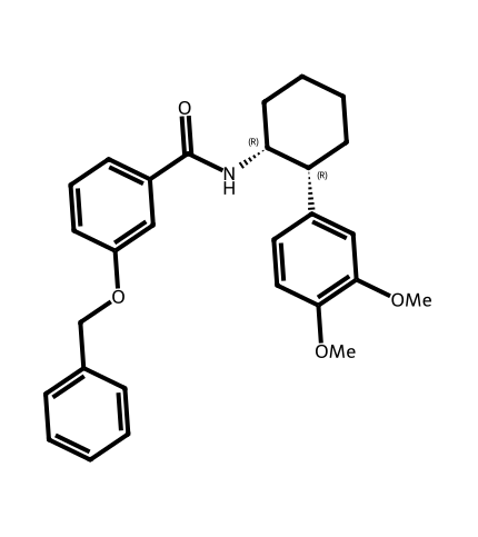 COc1ccc([C@H]2CCCC[C@H]2NC(=O)c2cccc(OCc3ccccc3)c2)cc1OC